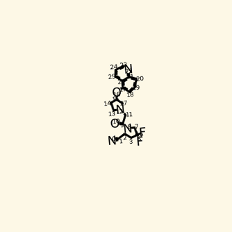 N#CC1CC(F)(F)CN1C(=O)CN1CCC(Oc2cccc3ncccc23)C1